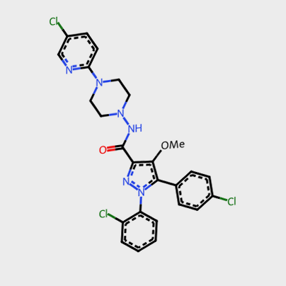 COc1c(C(=O)NN2CCN(c3ccc(Cl)cn3)CC2)nn(-c2ccccc2Cl)c1-c1ccc(Cl)cc1